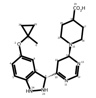 CC1(Oc2ccc3c(c2)[C@H](C2=NC=N[C@H](N4CCC(C(=O)O)CC4)C2)NN3)CC1